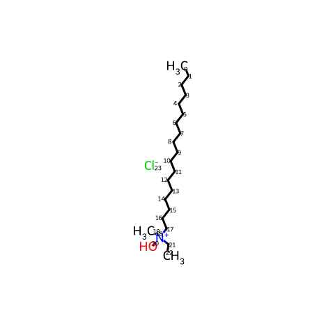 CCCCCCCCCCCCCCCCCC[N+](C)(O)CC.[Cl-]